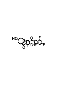 Cc1c2n(cc(C(=O)NCc3c(F)cc(F)cc3F)c1=O)N1CCC(O)CCN(C1)C2=O